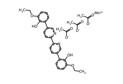 CC(=O)[O-].CC(=O)[O-].CC(=O)[O-].CCOc1cccc(-c2ccc(-c3ccc(-c4cccc(OCC)c4O)cn3)nc2)c1O.[Mn+3]